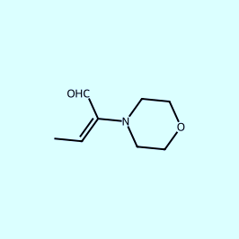 CC=C(C=O)N1CCOCC1